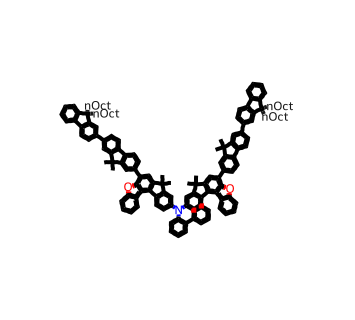 CCCCCCCCC1(CCCCCCCC)c2ccccc2-c2ccc(-c3ccc4c(c3)C(C)(C)c3cc(-c5cc6c(c7c5oc5ccccc57)-c5ccc(N(c7ccc8c(c7)C(C)(C)c7cc(-c9ccc%10c(c9)C(C)(C)c9cc(-c%11ccc%12c(c%11)C(CCCCCCCC)(CCCCCCCC)c%11ccccc%11-%12)ccc9-%10)c9oc%10ccccc%10c9c7-8)c7ccccc7-c7ccccc7)cc5C6(C)C)ccc3-4)cc21